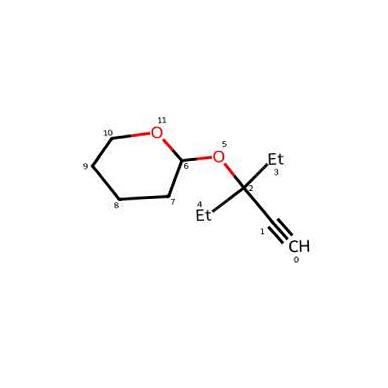 C#CC(CC)(CC)OC1CCCCO1